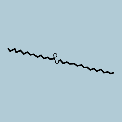 CCCCCCCCCCCCCCCCCOC(=O)CCCCCCCCCCCCCC